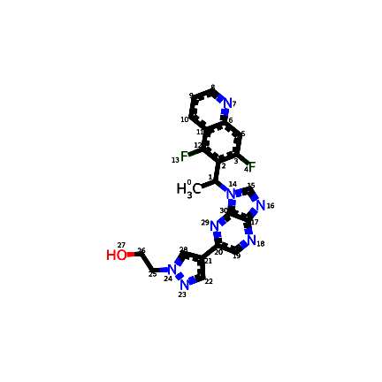 CC(c1c(F)cc2ncccc2c1F)n1cnc2ncc(-c3cnn(CCO)c3)nc21